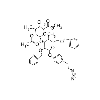 COC(=O)C1O[C@@H](O[C@@H]2C(OCc3ccccc3)[C@H](Oc3ccc(CCN=[N+]=[N-])cc3)OC(COCc3ccccc3)[C@@H]2C)C(OC(C)=O)[C@@H](C)[C@@H]1C